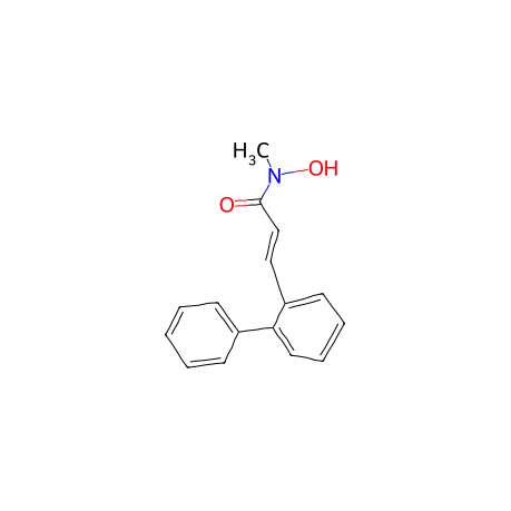 CN(O)C(=O)/C=C/c1ccccc1-c1ccccc1